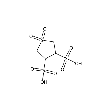 O=S1(=O)CC(S(=O)(=O)O)C(S(=O)(=O)O)C1